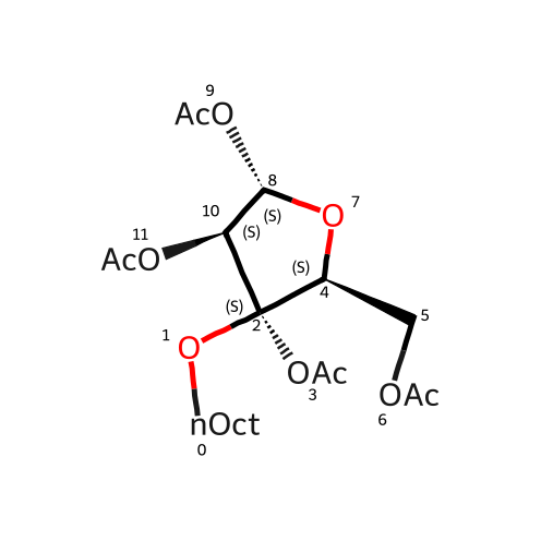 CCCCCCCCO[C@]1(OC(C)=O)[C@H](COC(C)=O)O[C@@H](OC(C)=O)[C@@H]1OC(C)=O